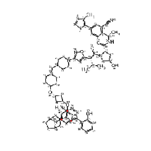 Cc1ncsc1-c1ccc([C@H](C)NC(=O)[C@@H]2C[C@@H](O)CN2C(=O)[C@@H](c2cc(N3CCC(CN4CCC(O[C@H]5C[C@H](Oc6cc(N7C8CCC7CN(c7cc(-c9ccccc9O)nnc7N)C8)ccn6)C5)CC4)CC3)no2)C(C)C)c(C#N)c1